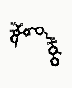 CC(=O)c1[nH]c2ccc(F)cc2c1-c1cn(CC2CCN(CCNS(=O)(=O)c3ccc(-c4ccccc4)c(F)c3)CC2)nn1